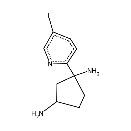 NC1CCC(N)(c2ccc(I)cn2)C1